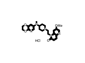 COc1cnc2ccc(=O)n(CCN3CCC(N(C)c4cnc5c(c4)OCCO5)CC3)c2c1.Cl